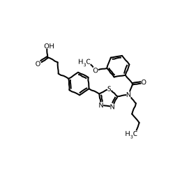 CCCCN(C(=O)c1cccc(OC)c1)c1nnc(-c2ccc(CCC(=O)O)cc2)s1